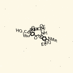 CCOc1cc2c(cc1C(=O)NC)C(=N)N(CC(=O)c1cc(N(CC)S(C)(=O)=O)c(OCC(=O)O)c(C(C)(C)C)c1)C2.O=C(O)C(F)(F)F